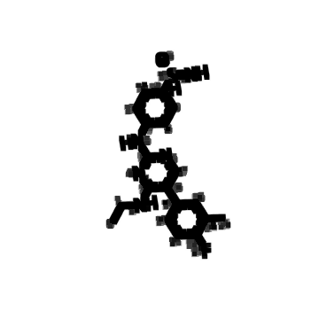 CCNc1nc(Nc2ccc([SH](=N)=O)cc2)ncc1-c1ccc(F)c(C)c1